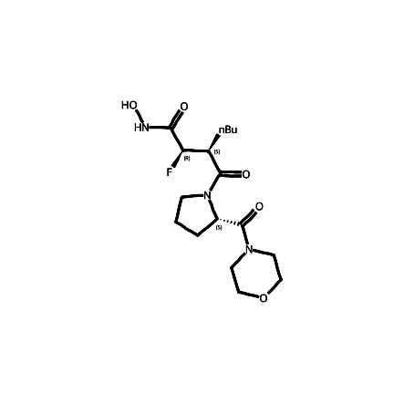 CCCC[C@@H](C(=O)N1CCC[C@H]1C(=O)N1CCOCC1)[C@@H](F)C(=O)NO